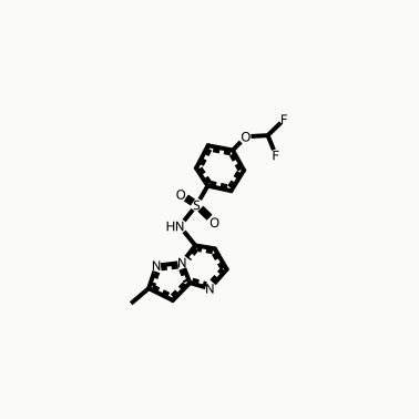 Cc1cc2nccc(NS(=O)(=O)c3ccc(OC(F)F)cc3)n2n1